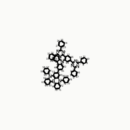 c1ccc(-c2nc(-c3ccccc3)nc(-c3ccc(-c4nc(-c5ccccc5)nc(-c5ccccc5)n4)c(-n4c5ccccc5c5cc(-c6cc7c8c(c6)N(c6ccccc6)c6ccccc6B8c6ccccc6N7c6ccccc6)ccc54)c3)n2)cc1